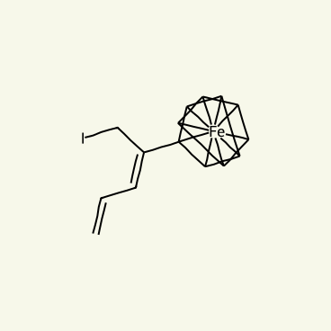 C=CC=C(CI)[C]12[CH]3[CH]4[CH]5[CH]1[Fe]45321678[CH]2[CH]1[CH]6[CH]7[CH]28